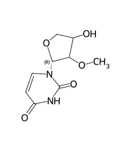 COC1C(O)CO[C@H]1n1ccc(=O)[nH]c1=O